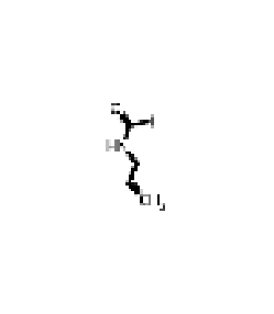 C=CCNC(=O)I